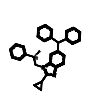 C[C@H](Cn1c(C2CC2)nc2ccc(C(c3ccccc3)c3ccccc3)cc21)c1ccccc1